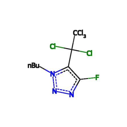 CCCCn1nnc(F)c1C(Cl)(Cl)C(Cl)(Cl)Cl